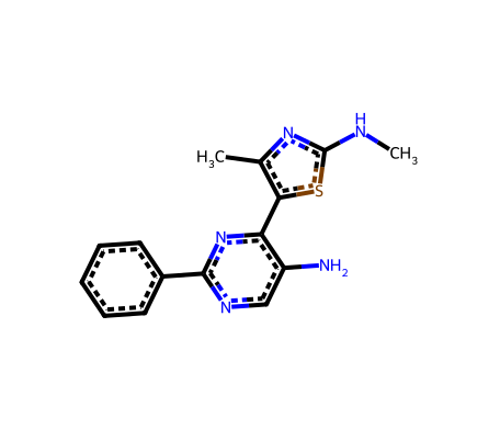 CNc1nc(C)c(-c2nc(-c3ccccc3)ncc2N)s1